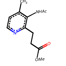 COC(=O)CCc1nccc(C)c1NC(C)=O